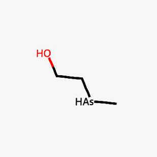 C[AsH]CCO